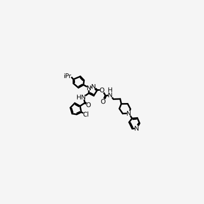 CC(C)c1ccc(-n2nc(OC(=O)NCCC3CCN(c4ccncc4)CC3)cc2NC(=O)c2ccccc2Cl)cc1